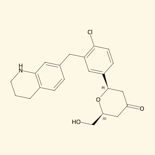 O=C1C[C@@H](CO)O[C@@H](c2ccc(Cl)c(Cc3ccc4c(c3)NCCC4)c2)C1